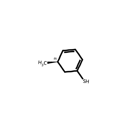 C[C@H]1C=CC=C(S)C1